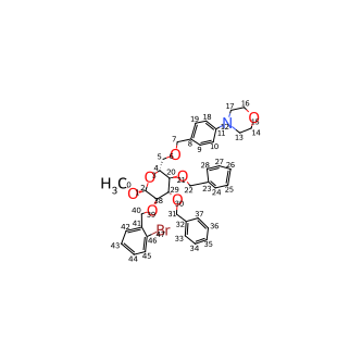 CO[C@H]1O[C@H](COCc2ccc(N3CCOCC3)cc2)[C@@H](OCc2ccccc2)[C@H](OCc2ccccc2)[C@H]1OCc1ccccc1Br